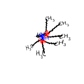 CCCCCCCCCCCCOc1cc(Nc2nc(Nc3cc(OCCCCCCCCCCCC)c(OCCCCCCCCCCCC)c(OCCCCCCCCCCCC)c3)nc(-c3cc[c]cc3)n2)cc(OCCCCCCCCCCCC)c1OCCCCCCCCCCCC